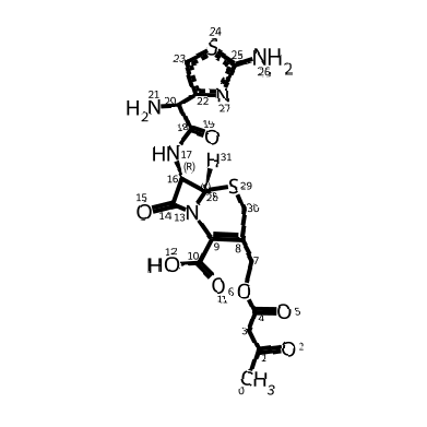 CC(=O)CC(=O)OCC1=C(C(=O)O)N2C(=O)[C@@H](NC(=O)C(N)c3csc(N)n3)[C@@H]2SC1